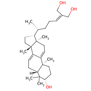 C[C@H](CCC=C(CO)CO)[C@H]1CC[C@@]2(C)C3=CC[C@H]4C(C)(C)[C@@H](O)CC[C@]4(C)C3=CC[C@]12C